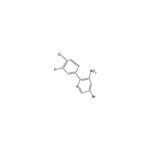 O=[N+]([O-])c1cc(Br)cnc1-c1ccc(Cl)c(F)c1